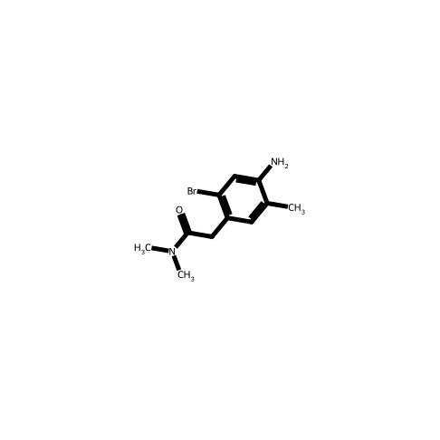 Cc1cc(CC(=O)N(C)C)c(Br)cc1N